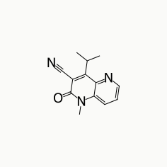 CC(C)c1c(C#N)c(=O)n(C)c2cccnc12